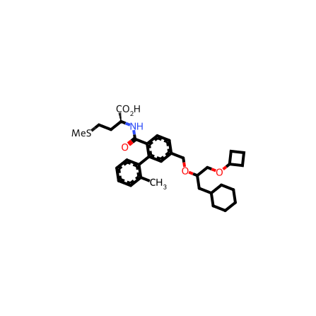 CSCC[C@H](NC(=O)c1ccc(COC(COC2CCC2)CC2CCCCC2)cc1-c1ccccc1C)C(=O)O